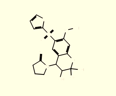 COc1cc2c(cc1S(=O)(=O)c1cccs1)C(N1CCCC1=O)C(O)C(C)(C)O2